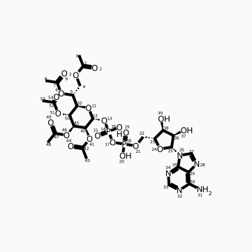 CC(=O)OC[C@@H](OC(C)=O)[C@H]1O[C@H](OP(=O)(O)OP(=O)(O)OC[C@H]2O[C@@H](n3cnc4c(N)ncnc43)[C@H](O)[C@@H]2O)[C@@H](OC(C)=O)[C@@H](OC(C)=O)[C@@H]1OC(C)=O